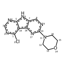 Clc1ncnc2[nH]c3cnc(N4CCOCC4)nc3c12